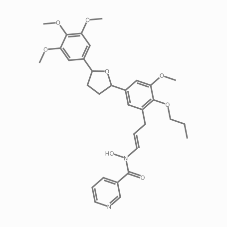 CCCOc1c(CC=CN(O)C(=O)c2cccnc2)cc(C2CCC(c3cc(OC)c(OC)c(OC)c3)O2)cc1OC